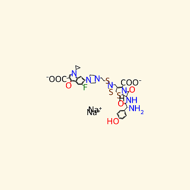 N[C@@H](C(=O)N[C@@H]1C(=O)N2C(C(=O)[O-])=C(CN(C=S)SCCN3CCN(c4cc5c(cc4F)c(=O)c(C(=O)[O-])cn5C4CC4)CC3)CS[C@H]12)c1ccc(O)cc1.[Na+].[Na+]